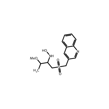 COC(C)C(CS(=O)(=O)Cc1cnc2ccccc2c1)NO